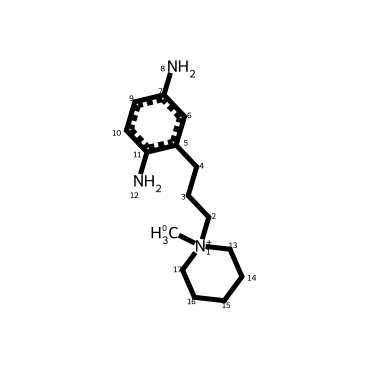 C[N+]1(CCCc2cc(N)ccc2N)CCCCC1